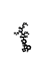 C=C(NC(=O)c1ccc(NCC2(c3ncccc3F)CCC2)nn1)S/C(CC(=O)OCC)=N\N